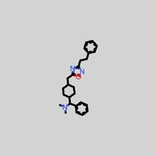 CN(C)C(c1ccccc1)C1CCC(Cc2nc(CCc3ccccc3)no2)CC1